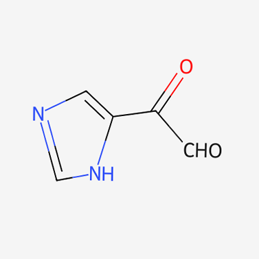 O=CC(=O)c1cnc[nH]1